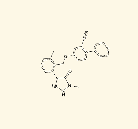 Cc1cccc(N2NNN(C)C2=O)c1COc1ccc(-c2ccccc2)c(C#N)c1